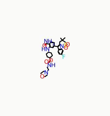 CC1(C)Cc2c(-c3ccc(C(N)=O)c(N[C@H]4CC[C@H](OC(=O)NCCN5CCOCC5)CC4)c3)c3ccc(F)cc3n2S(=O)(=O)C1